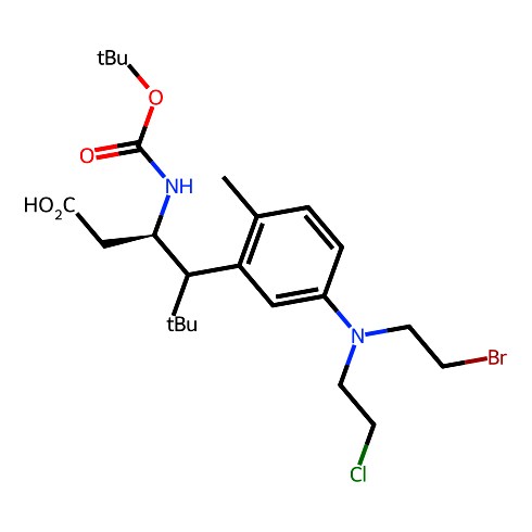 Cc1ccc(N(CCCl)CCBr)cc1C([C@@H](CC(=O)O)NC(=O)OC(C)(C)C)C(C)(C)C